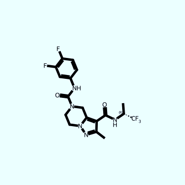 Cc1nn2c(c1C(=O)N[C@H](C)C(F)(F)F)CN(C(=O)Nc1ccc(F)c(F)c1)CC2